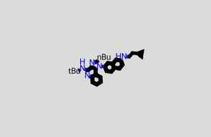 CCCCc1nc2c(NC(C)(C)C)nc3ccccc3c2n1-c1ccc2ccc(NCCC3CC3)cc2c1